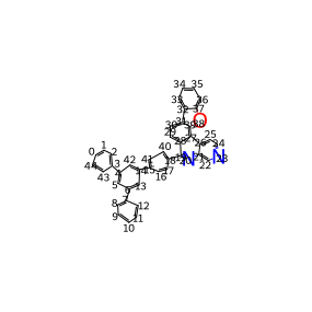 c1ccc(-c2cc(-c3ccccc3)cc(-c3ccc(-c4nc5cnccc5c5c4ccc4c6ccccc6oc45)cc3)c2)cc1